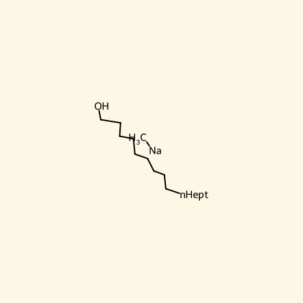 CCCCCCCCCCCCCCCCO.[CH3][Na]